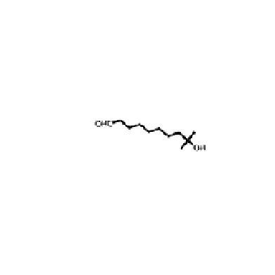 CC(C)(O)CCCCCCCC=O